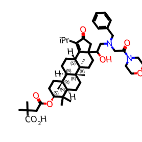 CC(C)C1=C2[C@H]3CC[C@@H]4[C@@]5(C)CC[C@H](OC(=O)CC(C)(C)C(=O)O)C(C)(C)[C@@H]5CC[C@@]4(C)[C@]3(C)CCC2(C(O)CN(CC(=O)N2CCOCC2)Cc2ccccc2)CC1=O